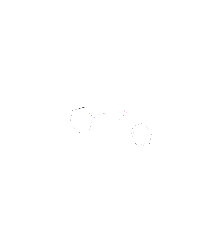 [O]=[Co]([CH2]CN1CCCCC1)[c]1ccccc1